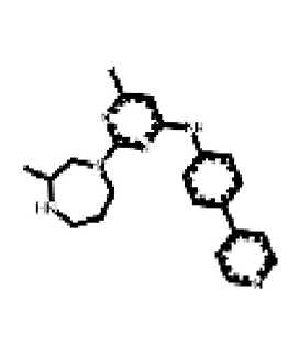 Cc1cc(Nc2ccc(-c3ccncc3)cc2)nc(N2CCCNC(C)C2)n1